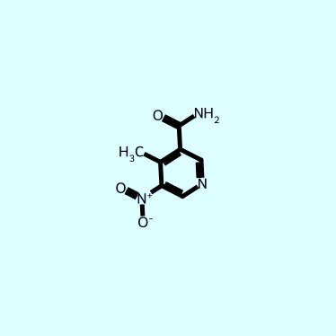 Cc1c(C(N)=O)cncc1[N+](=O)[O-]